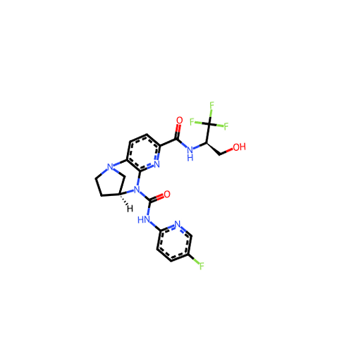 O=C(N[C@H](CO)C(F)(F)F)c1ccc2c(n1)N(C(=O)Nc1ccc(F)cn1)[C@H]1CCN2C1